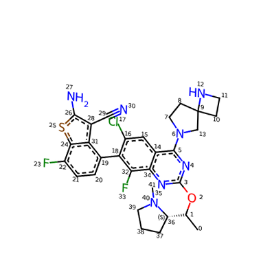 CC(Oc1nc(N2CCC3(CCN3)C2)c2cc(Cl)c(-c3ccc(F)c4sc(N)c(C#N)c34)c(F)c2n1)[C@@H]1CCCN1C